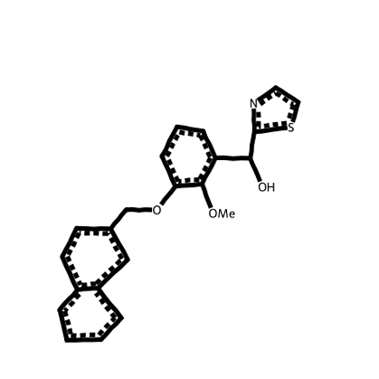 COc1c(OCc2ccc3ccccc3c2)cccc1C(O)c1nccs1